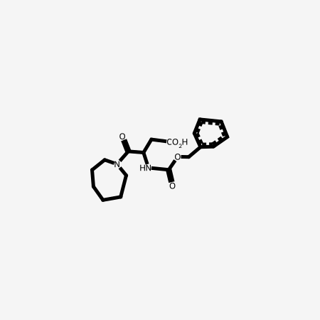 O=C(O)CC(NC(=O)OCc1ccccc1)C(=O)N1CCCCCC1